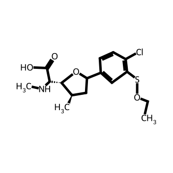 CCOSc1cc(C2C[C@@H](C)[C@H](C(NC)C(=O)O)O2)ccc1Cl